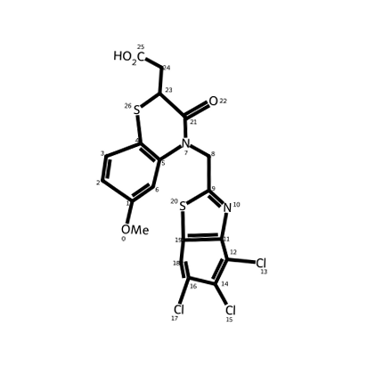 COc1ccc2c(c1)N(Cc1nc3c(Cl)c(Cl)c(Cl)cc3s1)C(=O)C(CC(=O)O)S2